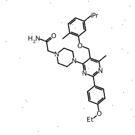 CCOc1ccc(-c2nc(C)c(COc3cc(C(C)C)ccc3C)c(N3CCN(CC(N)=O)CC3)n2)cc1